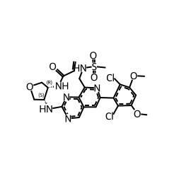 C=CC(=O)N[C@H]1COC[C@H]1Nc1ncc2cc(-c3c(Cl)c(OC)cc(OC)c3Cl)nc(CNS(C)(=O)=O)c2n1